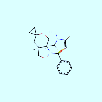 CN1C(Br)=CSC1[C@]12COC3(CC3)C[C@H]1CON2C(=O)c1ccccc1